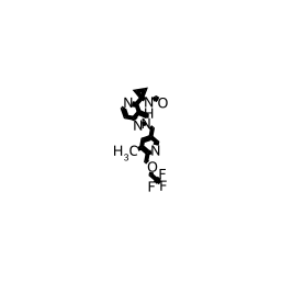 Cc1cc(Cn2cc3c(C4(NC=O)CC4)nccc3n2)cnc1COCC(F)(F)F